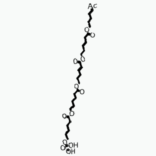 CC(=O)CCCCCOC(=O)CCCCCOC(=O)CCCCCOC(=O)CCCCCOC(=O)CCCCCOP(=O)(O)O